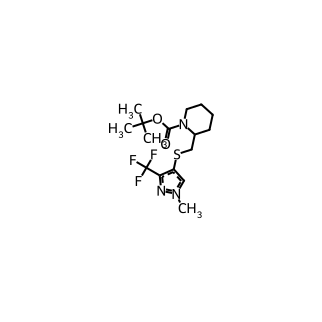 Cn1cc(SCC2CCCCN2C(=O)OC(C)(C)C)c(C(F)(F)F)n1